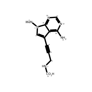 CNn1cc(C#CCNC(=O)O)c2c(N)ncnc21